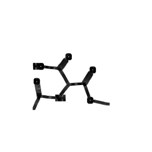 COC(=O)C(NC(C)=O)C(=O)O